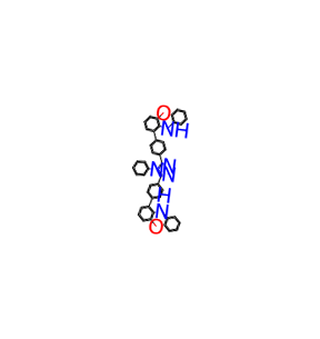 c1ccc(-n2c(-c3ccc(-c4cccc5c4Nc4ccccc4O5)cc3)nnc2-c2ccc(-c3cccc4c3Nc3ccccc3O4)cc2)cc1